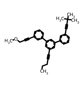 CCCC#Cc1cc(-c2cccc(C#CCOC)c2)cc(-c2cccc(C#CC(C)(C)C)c2)c1